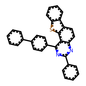 c1ccc(-c2ccc(-c3nc(-c4ccccc4)nc4ccc5c6ccccc6sc5c34)cc2)cc1